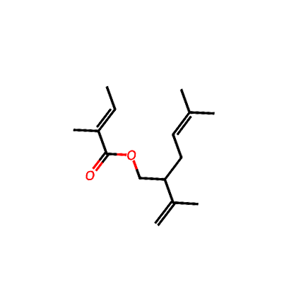 C=C(C)C(CC=C(C)C)COC(=O)C(C)=CC